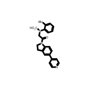 CC(C)(C)c1ccccc1N(CC(=O)N1CCc2cc(-c3ccncc3)ccc21)C(=O)O